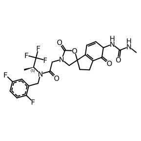 CNC(=O)NC1C=CC2=C(CCC23CN(CC(=O)N(Cc2cc(F)ccc2F)[C@@H](C)C(F)(F)F)C(=O)O3)C1=O